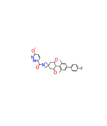 COc1ccc(C(=O)N2CC3(CC(=O)C(c4c(C)cc(-c5ccc(F)cc5)cc4C)C(=O)C3)C2)nn1